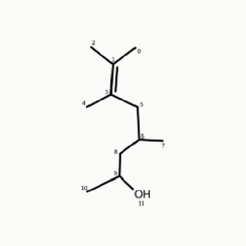 CC(C)=C(C)CC(C)CC(C)O